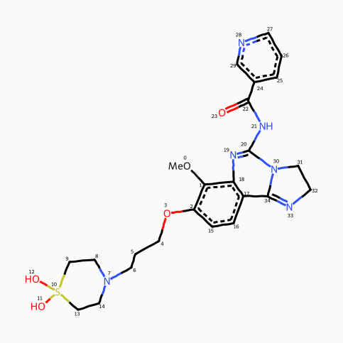 COc1c(OCCCN2CCS(O)(O)CC2)ccc2c1N=C(NC(=O)c1cccnc1)N1CCN=C21